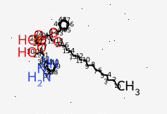 CCCCCCCCCCCCCCCCCCOCC(COP(=O)(O)CO[C@H](CO)Cn1cnc2c(N)ccnc21)OCc1ccccc1